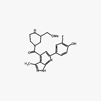 COCC1CN(C(=O)c2cc(-c3ccc(O)c(F)c3)nc3[nH]nc(C)c23)CCN1